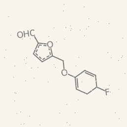 O=Cc1ccc(COC2=CCC(F)C=C2)o1